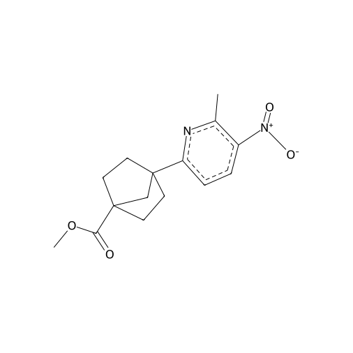 COC(=O)C12CCC(c3ccc([N+](=O)[O-])c(C)n3)(CC1)C2